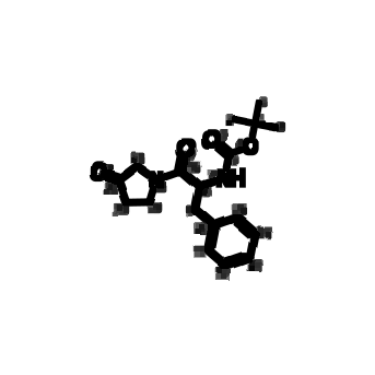 CC(C)(C)OC(=O)NC(Cc1ccccc1)C(=O)N1CCC(=O)C1